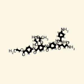 C=CCOC(=O)c1ccc(NC(=O)c2ccc(NC(=O)c3ccc(NC(=O)C(CC(N)=O)NC(=O)c4ccc(N)cc4)cc3)c(OCC(C)C)c2OCC=C)cc1